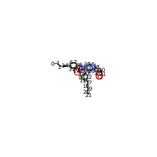 CCCC#Cc1ccc(CN(C(=O)[C@H]2CC[C@H](CCCCC)CC2)C2CCN(Cc3ccoc3)CC2)cc1